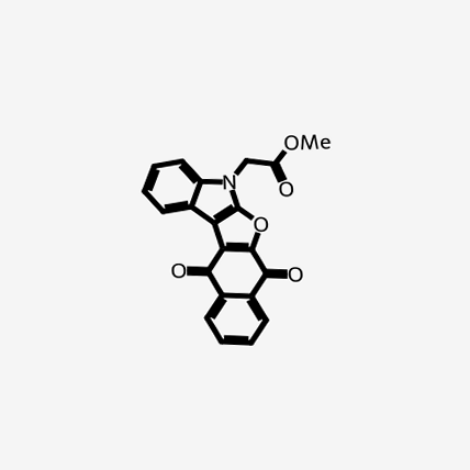 COC(=O)Cn1c2ccccc2c2c3c(oc21)C(=O)c1ccccc1C3=O